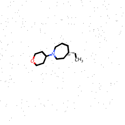 CC[C@H]1CCCN(C2CCOCC2)CC1